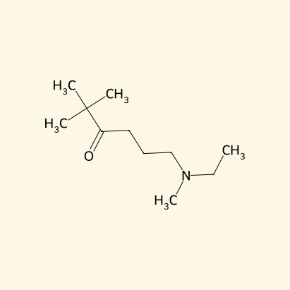 CCN(C)CCCC(=O)C(C)(C)C